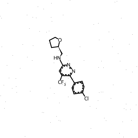 FC(F)(F)c1cc(NC[C@H]2CCCO2)nnc1-c1ccc(Cl)cc1